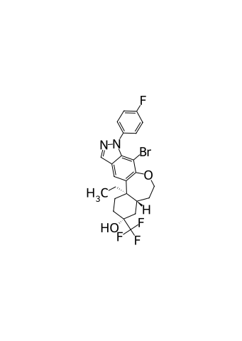 CC[C@@]12CC[C@](O)(C(F)(F)F)C[C@H]1CCOc1c2cc2cnn(-c3ccc(F)cc3)c2c1Br